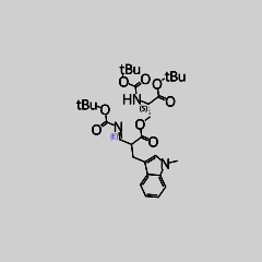 Cn1cc(CC(/C=N/C(=O)OC(C)(C)C)C(=O)OC[C@H](NC(=O)OC(C)(C)C)C(=O)OC(C)(C)C)c2ccccc21